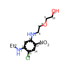 CCNc1cc(NCCOCCO)c([N+](=O)[O-])cc1Cl